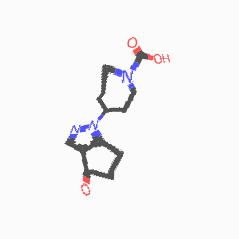 O=C1CCc2c1cnn2C1CCN(C(=O)O)CC1